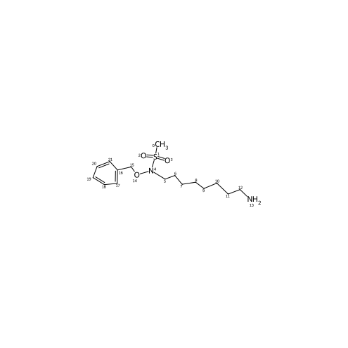 CS(=O)(=O)N(CCCCCCCCN)OCc1ccccc1